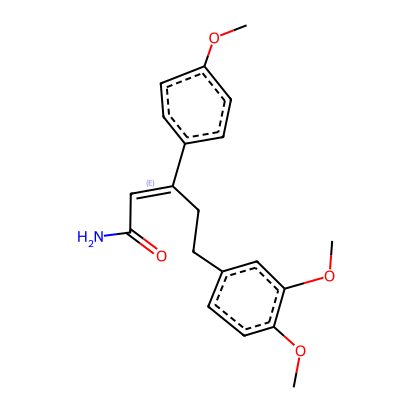 COc1ccc(/C(=C/C(N)=O)CCc2ccc(OC)c(OC)c2)cc1